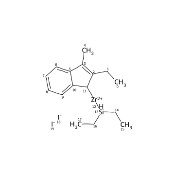 CCC1=C(C)c2ccccc2[CH]1[Zr+2][SiH](CC)CC.[I-].[I-]